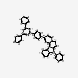 c1ccc(-c2nc(-c3ccccc3)nc(-c3ccc(-c4ccc5ccc6c(c5c4)c4ccccc4n6-c4ccccc4)cc3)n2)cc1